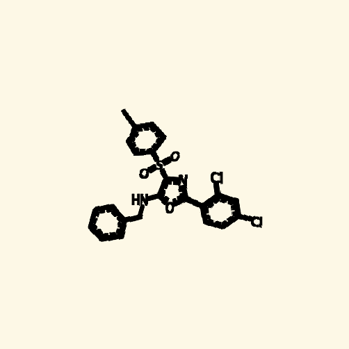 Cc1ccc(S(=O)(=O)c2nc(-c3ccc(Cl)cc3Cl)oc2NCc2ccccc2)cc1